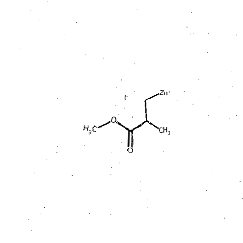 COC(=O)C(C)[CH2][Zn+].[I-]